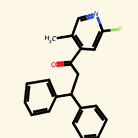 Cc1cnc(F)cc1C(=O)CC(c1ccccc1)c1ccccc1